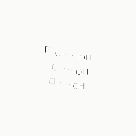 OCl.OCl.OCl.[P]